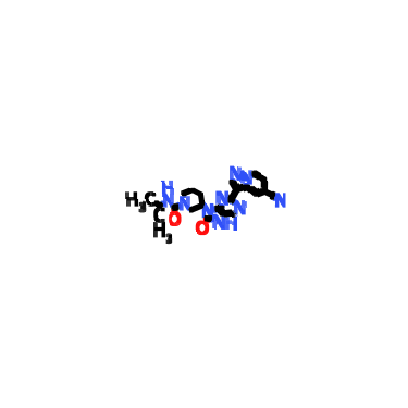 CC(C)NC(=O)N1CCCC(n2c(=O)[nH]c3cnc(-c4cnn5ccc(C#N)cc45)nc32)C1